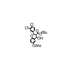 COc1ccc2c(c1)C(O)C(C(=O)OC(C)(C)C)C(c1ccc(Cl)c(Cl)c1)O2